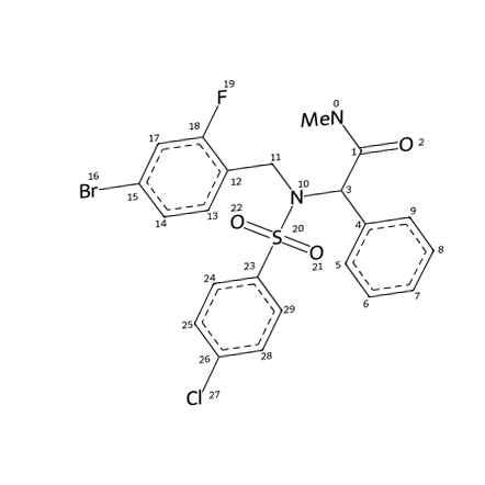 CNC(=O)C(c1ccccc1)N(Cc1ccc(Br)cc1F)S(=O)(=O)c1ccc(Cl)cc1